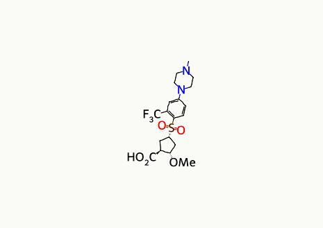 CO[C@H]1C[C@@H](S(=O)(=O)c2ccc(N3CCN(C)CC3)cc2C(F)(F)F)C[C@@H]1C(=O)O